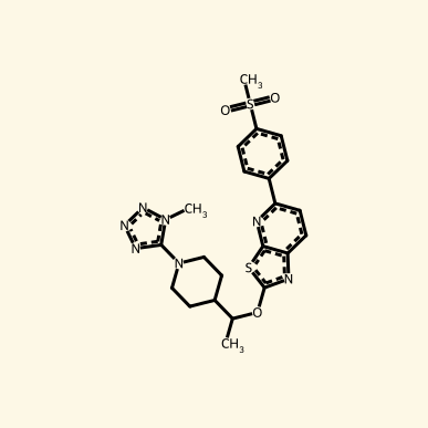 CC(Oc1nc2ccc(-c3ccc(S(C)(=O)=O)cc3)nc2s1)C1CCN(c2nnnn2C)CC1